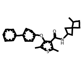 Cc1sc(C)c(C(=O)NC2CC3(CCC3C)C2)c1Oc1ccc(-c2ccccc2)cc1